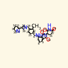 Cc1cc(CNc2cccc3c2C(=O)N(C2CCC(=O)NC2=O)C3=O)ccc1CN1CC(c2ccccn2)C1